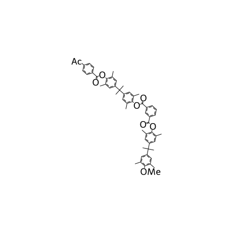 COc1c(C)cc(C(C)(C)c2cc(C)c(OC(=O)c3cccc(C(=O)Oc4c(C)cc(C(C)(C)c5cc(C)c(OC(=O)c6ccc(C(C)=O)cc6)c(C)c5)cc4C)c3)c(C)c2)cc1C